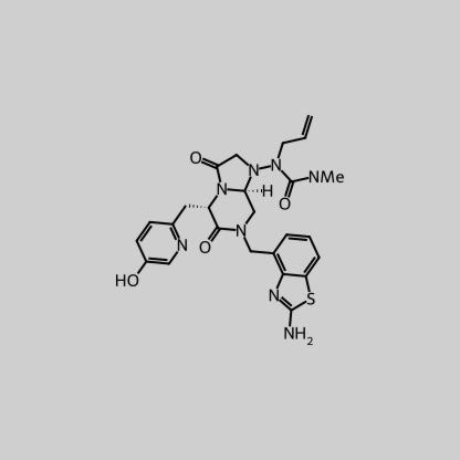 C=CCN(C(=O)NC)N1CC(=O)N2[C@@H](Cc3ccc(O)cn3)C(=O)N(Cc3cccc4sc(N)nc34)C[C@@H]21